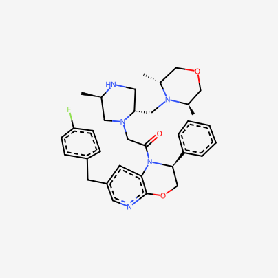 C[C@@H]1CN(CC(=O)N2c3cc(Cc4ccc(F)cc4)cnc3OC[C@@H]2c2ccccc2)[C@@H](CN2[C@H](C)COC[C@H]2C)CN1